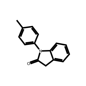 Cc1ccc(N2C(=O)Cc3ccccc32)cc1